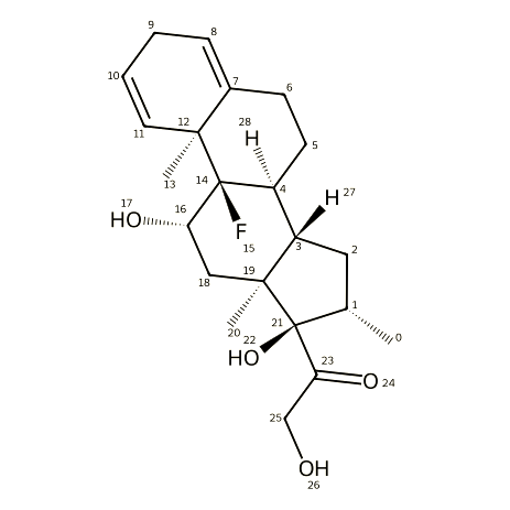 C[C@H]1C[C@H]2[C@@H]3CCC4=CCC=C[C@]4(C)[C@@]3(F)[C@@H](O)C[C@]2(C)[C@@]1(O)C(=O)CO